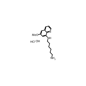 COc1cc(NCCCCCCN)c2ncccc2c1.Cl.Cl